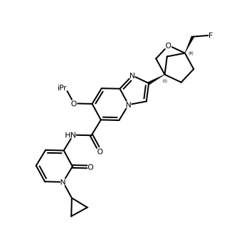 CC(C)Oc1cc2nc([C@]34CC[C@](CF)(C3)OC4)cn2cc1C(=O)Nc1cccn(C2CC2)c1=O